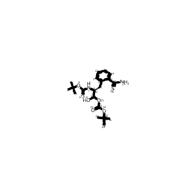 CC(C)(C)OC(=O)N[C@@H](Cc1ccccc1C(N)=S)C(O)OC(=O)OC(C)(C)C